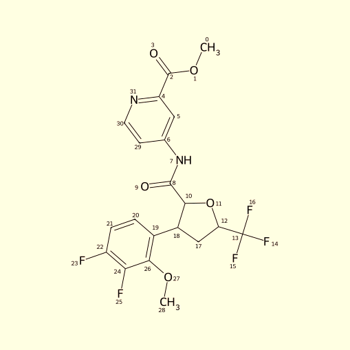 COC(=O)c1cc(NC(=O)C2OC(C(F)(F)F)CC2c2ccc(F)c(F)c2OC)ccn1